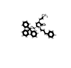 C=CC[C@@H]1C[C@@H](COC(c2ccccc2)(c2ccccc2)c2ccccc2)N(CCCc2ccccc2)C1=O